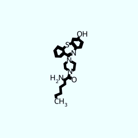 CCCCCC(N)C(=O)N1CCN(C2=Nc3ccc(O)cc3Sc3ccccc32)CC1